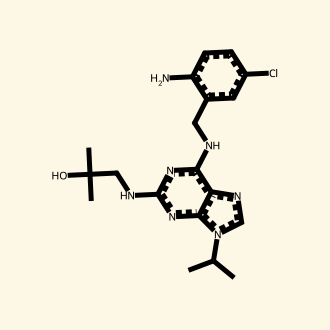 CC(C)n1cnc2c(NCc3cc(Cl)ccc3N)nc(NCC(C)(C)O)nc21